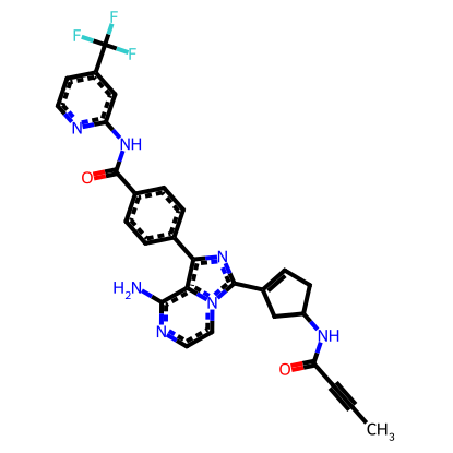 CC#CC(=O)NC1CC=C(c2nc(-c3ccc(C(=O)Nc4cc(C(F)(F)F)ccn4)cc3)c3c(N)nccn23)C1